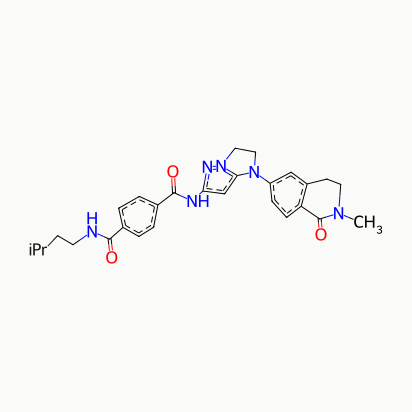 CC(C)CCNC(=O)c1ccc(C(=O)Nc2cc3n(n2)CCN3c2ccc3c(c2)CCN(C)C3=O)cc1